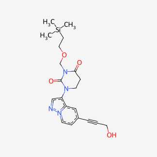 C[Si](C)(C)CCOCN1C(=O)CCN(c2cnn3ccc(C#CCO)cc23)C1=O